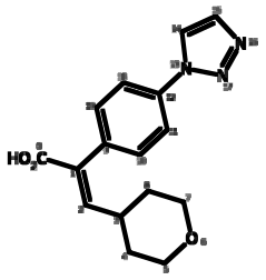 O=C(O)/C(=C/C1CCOCC1)c1ccc(-n2ccnn2)cc1